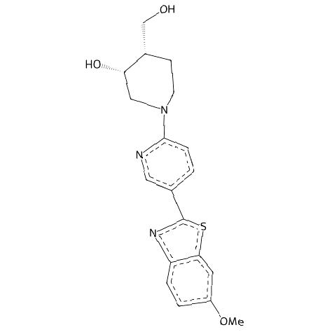 COc1ccc2nc(-c3ccc(N4CC[C@@H](CO)[C@@H](O)C4)nc3)sc2c1